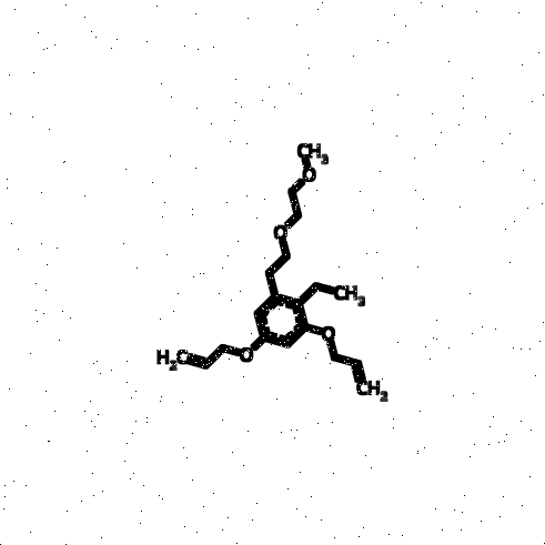 C=CCOc1cc(CCOCCOC)c(CC)c(OCC=C)c1